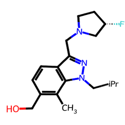 Cc1c(CO)ccc2c(CN3CC[C@H](F)C3)nn(CC(C)C)c12